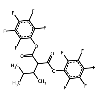 CC(C)C(C)C(C(=O)Oc1c(F)c(F)c(F)c(F)c1F)C(=O)Oc1c(F)c(F)c(F)c(F)c1F